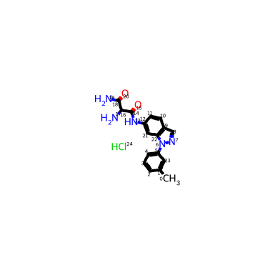 Cc1cccc(-n2ncc3ccc(NC(=O)C(N)C(N)=O)cc32)c1.Cl